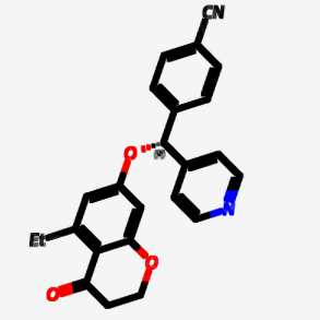 CCc1cc(O[C@@H](c2ccncc2)c2ccc(C#N)cc2)cc2c1C(=O)CCO2